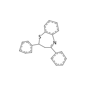 c1ccc(C2=Nc3ccccc3SC(c3ccccc3)C2)cc1